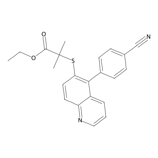 CCOC(=O)C(C)(C)Sc1ccc2ncccc2c1-c1ccc(C#N)cc1